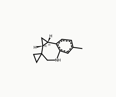 Cc1ccc2c(c1)NCC1(CC1)[C@@H]1C[C@H]21